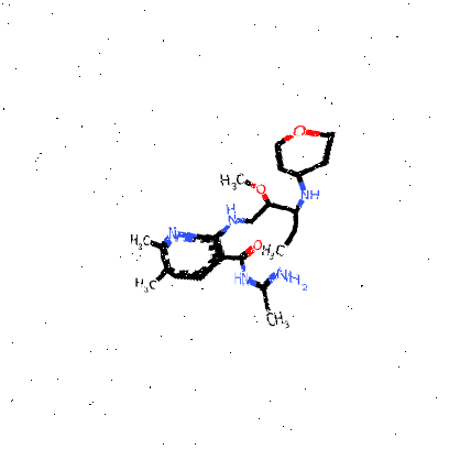 CCC(NC1CCOCC1)C(CNc1nc(C)c(C)cc1C(=O)NC(C)N)OC